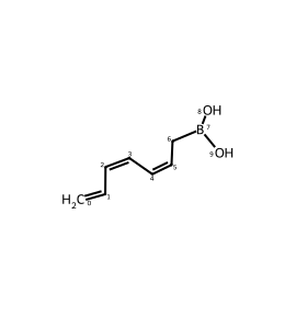 C=C/C=C\C=C/CB(O)O